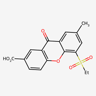 CCS(=O)(=O)c1cc(C)cc2c(=O)c3cc(C(=O)O)ccc3oc12